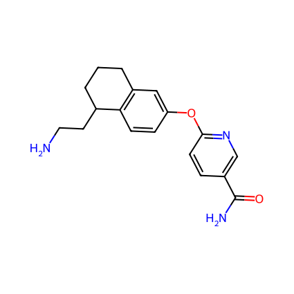 NCCC1CCCc2cc(Oc3ccc(C(N)=O)cn3)ccc21